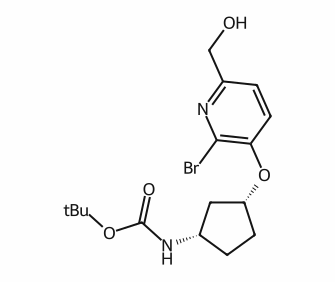 CC(C)(C)OC(=O)N[C@H]1CC[C@@H](Oc2ccc(CO)nc2Br)C1